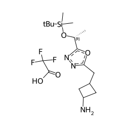 C[C@@H](O[Si](C)(C)C(C)(C)C)c1nnc(CC2CC(N)C2)o1.O=C(O)C(F)(F)F